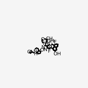 C#Cc1c(F)ccc2cc(O)cc(-c3ncc4c(N5CCOC[C@@](C)(O)C5)nc(OC[C@]56CCC[C@H]5N(CC5COC5)CCC6)nc4c3F)c12